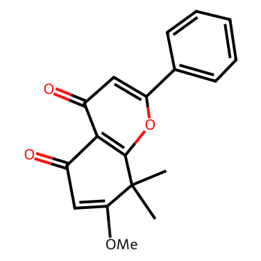 COC1=CC(=O)c2c(oc(-c3ccccc3)cc2=O)C1(C)C